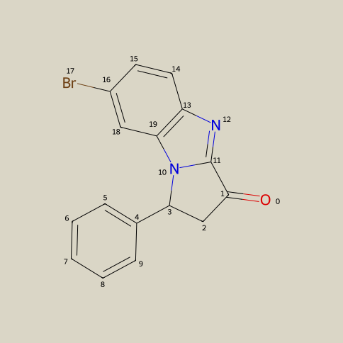 O=C1CC(c2ccccc2)n2c1nc1ccc(Br)cc12